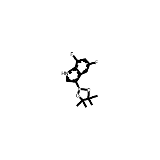 CC1(C)OB(c2c[nH]c3c(F)cc(F)cc23)OC1(C)C